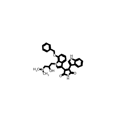 CN(C)CC(O)Cn1cc(C2=C(c3c[nH]c4ccccc34)C(=O)NC2=O)c2cccc(OCc3ccccc3)c21